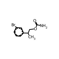 CC(COC(N)=O)c1cccc(Br)c1